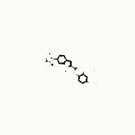 CCCCS(=O)(=O)N(c1ccc2cc(C(=O)Nc3ccc(C#N)cc3C(=O)O)n(C)c2c1)S(=O)(=O)CCCC